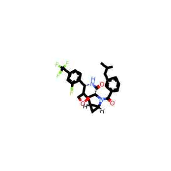 CC(C)Cc1cccc(C(=O)N2[C@@H](C(=O)N[C@@H](c3ccc(C(F)(F)F)cc3F)C3COC3)C[C@H]3C[C@H]32)c1